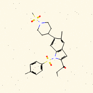 Cc1ccc(S(=O)(=O)n2c(C(=O)CC#N)cc3cc(C)c(C4CCN(S(C)(=O)=O)CC4)cc32)cc1